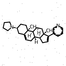 C[C@]12CC[C@H](N3CCCC3)CC1=CC[C@@H]1[C@@H]2CC[C@]2(C)C(c3cccnc3)=CC[C@@H]12